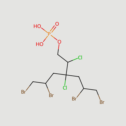 O=P(O)(O)OCC(Cl)C(Cl)(CC(Br)CBr)CC(Br)CBr